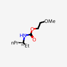 CCC[C@H](CC)NC(=O)OCCOC